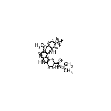 COc1ccc(C(F)(F)F)cc1Nc1ncnc2[nH]c3c(c12)CC(C(=O)NC(C)C)CC3